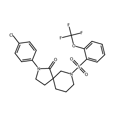 O=C1N(c2ccc(Cl)cc2)CCC12CCCN(S(=O)(=O)c1ccccc1OC(F)(F)F)C2